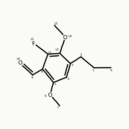 CCCc1cc(OC)c(C=O)c(F)c1OC